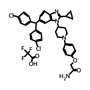 NC(=O)COc1ccc(N2CCC(n3c(C4CC4)nc4ccc(C(c5ccc(Cl)cc5)c5ccc(Cl)cc5)cc43)CC2)cc1.O=C(O)C(F)(F)F